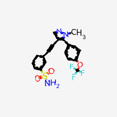 Cn1ncc(C#Cc2cccc(S(N)(=O)=O)c2)c1-c1ccc(OC(F)(F)F)cc1